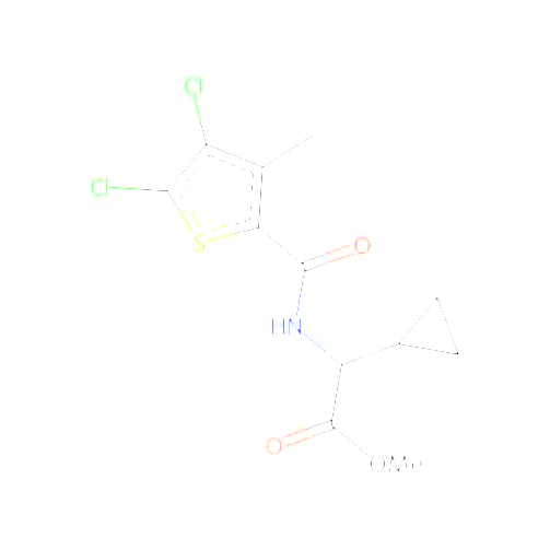 COC(=O)C(NC(=O)c1sc(Cl)c(Cl)c1C)C1CC1